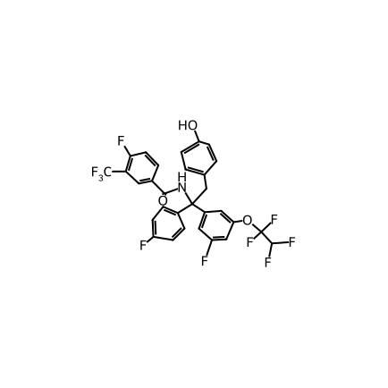 O=C(NC(Cc1ccc(O)cc1)(c1ccc(F)cc1)c1cc(F)cc(OC(F)(F)C(F)F)c1)c1ccc(F)c(C(F)(F)F)c1